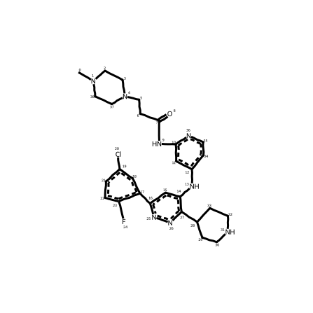 CN1CCN(CCC(=O)Nc2cc(Nc3cc(-c4cc(Cl)ccc4F)nnc3C3CCNCC3)ccn2)CC1